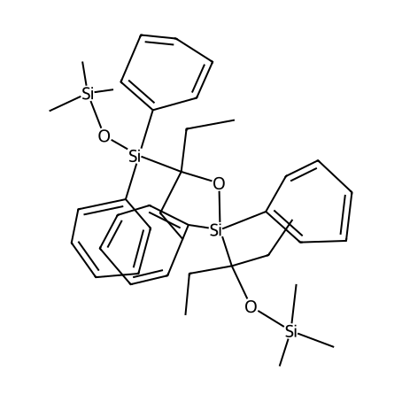 CCC(CC)(O[Si](C)(C)C)[Si](OC(CC)(CC)[Si](O[Si](C)(C)C)(c1ccccc1)c1ccccc1)(c1ccccc1)c1ccccc1